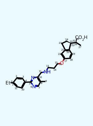 CCc1ccc(-c2ncc(C)c(CNCCCOc3ccc4c(c3)CC[C@H]4[C@H](C)C(=O)O)n2)cc1